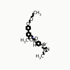 CCCCOCCOc1ccc(-c2ccc(C(C)C)c(/C=C/C(=O)Nc3ccc([S+]([O-])Cc4cncn4CCC)cc3)c2)cc1